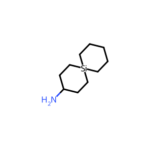 NC1CC[Si]2(CCCCC2)CC1